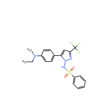 CCN(C)c1ccc(-c2cc(C(F)(F)F)nn2NS(=O)(=O)c2ccccc2)cc1